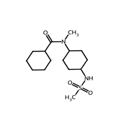 CN(C(=O)C1CCCCC1)C1CCC(NS(C)(=O)=O)CC1